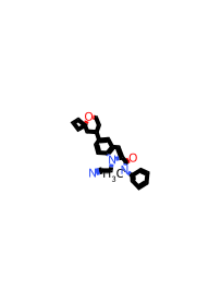 CN(C(=O)c1cc2cc(C3CCOC4(CCC4)C3)ccc2n1CC#N)c1ccccc1